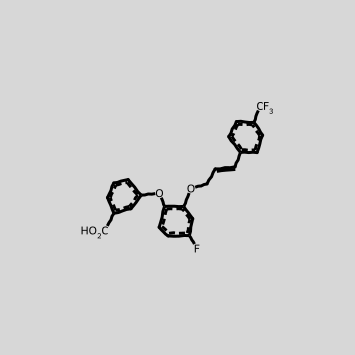 O=C(O)c1cccc(Oc2ccc(F)cc2OC/C=C/c2ccc(C(F)(F)F)cc2)c1